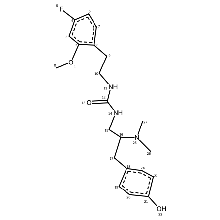 COc1cc(F)ccc1CCNC(=O)NCC(Cc1ccc(O)cc1)N(C)C